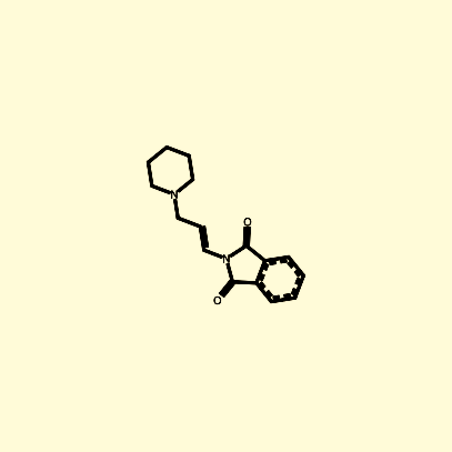 O=C1c2ccccc2C(=O)N1C=CCN1CCCCC1